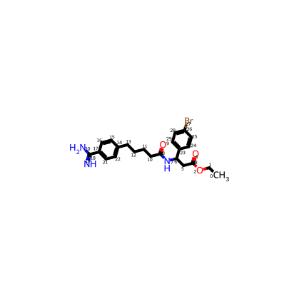 CCOC(=O)CC(NC(=O)CCCCc1ccc(C(=N)N)cc1)c1ccc(Br)cc1